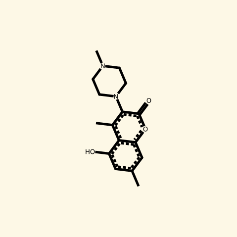 Cc1cc(O)c2c(C)c(N3CCN(C)CC3)c(=O)oc2c1